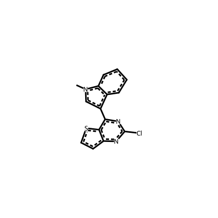 Cn1cc(-c2nc(Cl)nc3ccsc23)c2ccccc21